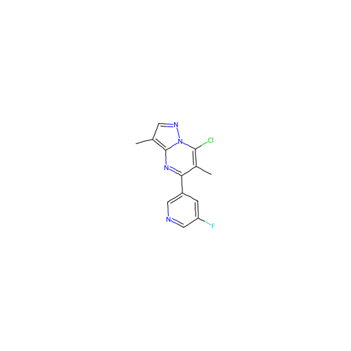 Cc1c(-c2cncc(F)c2)nc2c(C)cnn2c1Cl